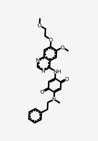 COCCOc1cc2ncnc(NC3=CC(=O)C(N(C)CCc4ccccc4)=CC3=O)c2cc1OC